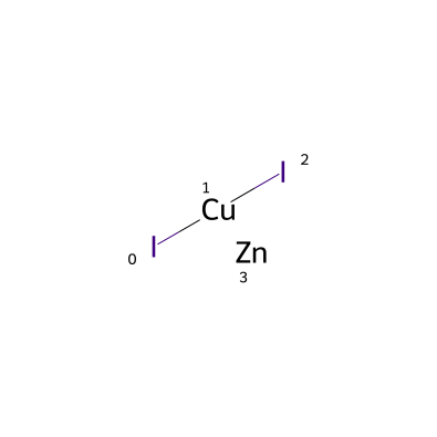 [I][Cu][I].[Zn]